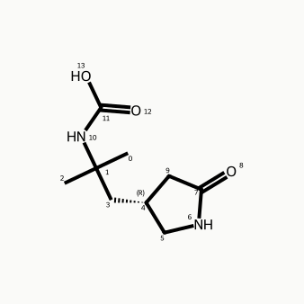 CC(C)(C[C@H]1CNC(=O)C1)NC(=O)O